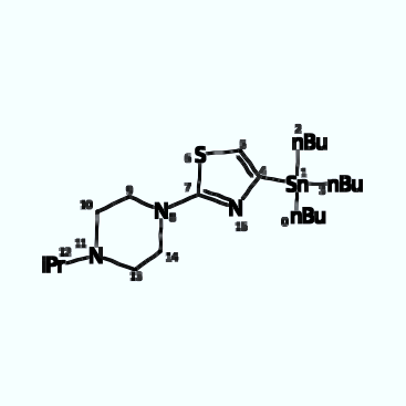 CCC[CH2][Sn]([CH2]CCC)([CH2]CCC)[c]1csc(N2CCN(C(C)C)CC2)n1